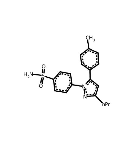 CCCc1cc(-c2ccc(C)cc2)n(-c2ccc(S(N)(=O)=O)cc2)n1